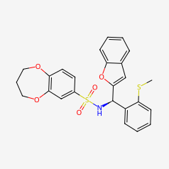 CSc1ccccc1[C@@H](NS(=O)(=O)c1ccc2c(c1)OCCCO2)c1cc2ccccc2o1